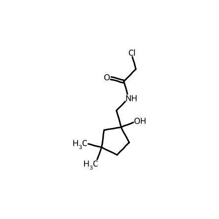 CC1(C)CCC(O)(CNC(=O)CCl)C1